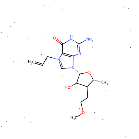 C=CC[n+]1cn([C@@H]2O[C@H](C)C(CCOC)C2O)c2nc(N)[nH]c(=O)c21